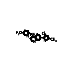 Cc1cnc(-c2ccc3c(Nc4ccc(C(F)(F)F)cn4)ccnc3c2)c(Cl)c1